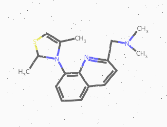 CC1=CSC(C)N1c1cccc2ccc(CN(C)C)nc12